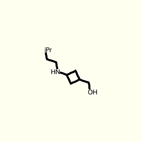 CC(C)CCNC1CC(CO)C1